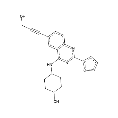 OCC#Cc1ccc2nc(-c3ccco3)nc(NC3CCC(O)CC3)c2c1